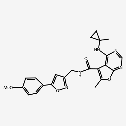 COc1ccc(-c2cc(CNC(=O)c3c(C)oc4ncnc(NC5(C)CC5)c34)no2)cc1